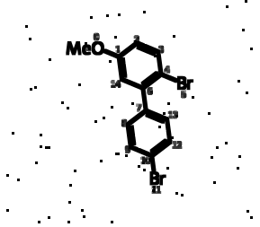 COc1ccc(Br)c(-c2ccc(Br)cc2)c1